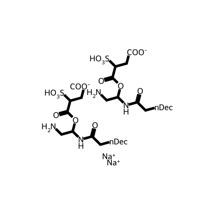 CCCCCCCCCCCC(=O)NC(CN)OC(=O)C(CC(=O)[O-])S(=O)(=O)O.CCCCCCCCCCCC(=O)NC(CN)OC(=O)C(CC(=O)[O-])S(=O)(=O)O.[Na+].[Na+]